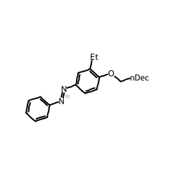 CCCCCCCCCCCOc1ccc(/N=N/c2ccccc2)cc1CC